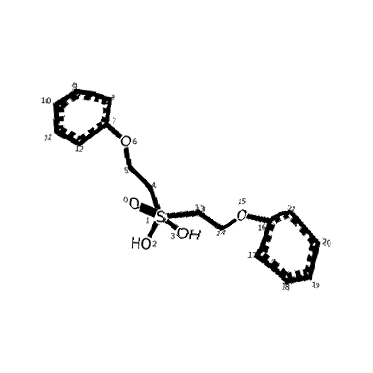 O=S(O)(O)(CCOc1ccccc1)CCOc1ccccc1